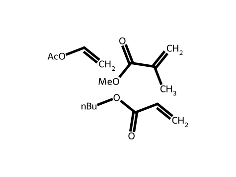 C=C(C)C(=O)OC.C=CC(=O)OCCCC.C=COC(C)=O